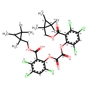 CCC1(C)C(C)C1(C)COC(=O)c1c(Cl)c(Cl)cc(Cl)c1OC(=O)C(=O)Oc1c(Cl)cc(Cl)c(Cl)c1C(=O)OCC1(C)C(C)C1(C)CC